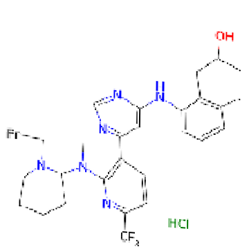 CC(C)CN1CCCCC1N(C)c1nc(C(F)(F)F)ccc1-c1cc(Nc2cccc3c2CC(O)CC3)ncn1.Cl